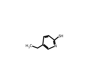 CCc1ccc(S)nc1